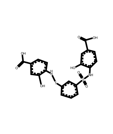 O=C(O)c1ccc(NSc2cccc(S(=O)(=O)Nc3ccc(C(=O)O)cc3O)c2)c(O)c1